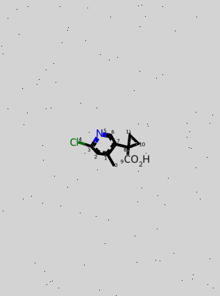 Cc1cc(Cl)ncc1C1(C(=O)O)CC1